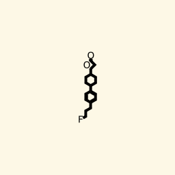 O=C1CC(C2CCC(c3ccc(CCCF)cc3)CC2)O1